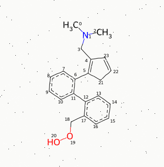 CN(C)CC1=C(c2ccccc2-c2ccccc2COO)CC=C1